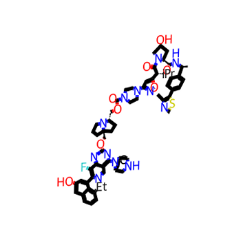 CCc1cccc2cc(O)cc(-c3ncc4c(N5CC6CCCC5CN6)nc(OC[C@@]56CCCN5[C@H](COC(=O)N5CCN(c7cc([C@H](C(=O)N8C[C@H](O)C[C@H]8C(=O)N[C@@H](C)c8ccc(-c9scnc9C)cc8)C(C)C)on7)CC5)CC6)nc4c3F)c12